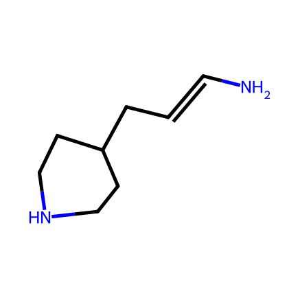 NC=CCC1CCNCC1